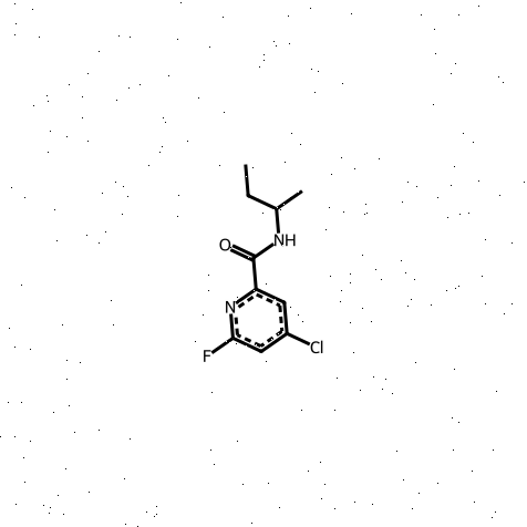 CCC(C)NC(=O)c1cc(Cl)cc(F)n1